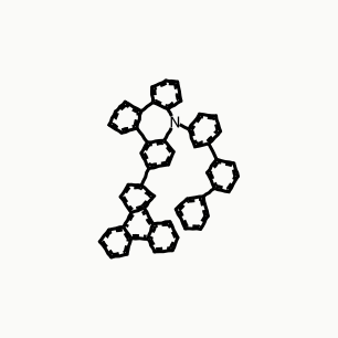 c1ccc(-c2cccc(-c3cccc(N4c5ccccc5-c5ccccc5-c5cc(-c6ccc7c8ccccc8c8ccccc8c7c6)ccc54)c3)c2)cc1